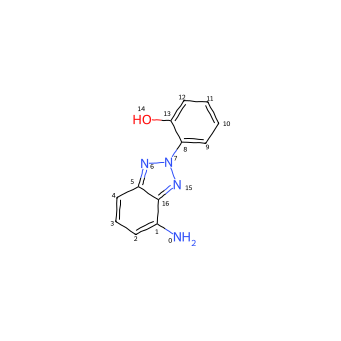 Nc1cccc2nn(-c3ccccc3O)nc12